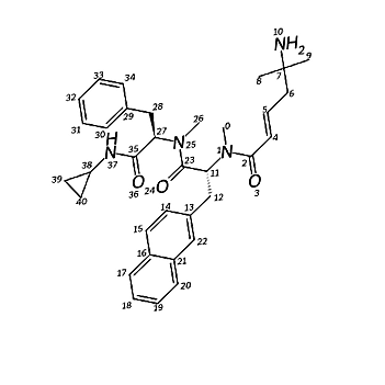 CN(C(=O)/C=C/CC(C)(C)N)[C@H](Cc1ccc2ccccc2c1)C(=O)N(C)[C@H](Cc1ccccc1)C(=O)NC1CC1